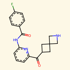 O=C(Nc1cccc(C(=O)C2CC3(CNC3)C2)n1)c1ccc(F)cc1